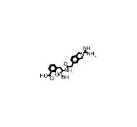 N=C(N)N1Cc2ccc(CC(=O)NC3Cc4cccc(C(=O)O)c4OB3O)cc2C1